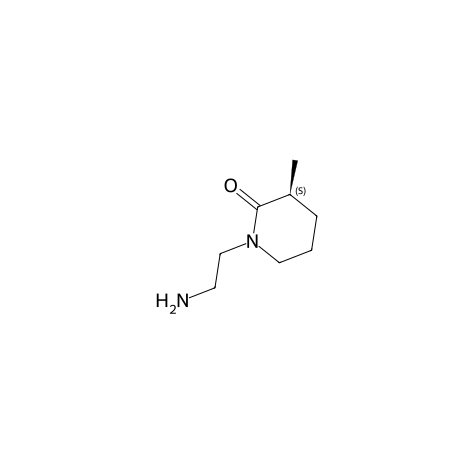 C[C@H]1CCCN(CCN)C1=O